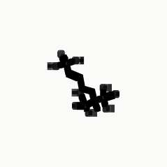 CC(CC/C=C/P(=O)(O)O)(P(=O)(O)O)P(=O)(O)O